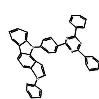 c1ccc(-c2nc(-c3ccccc3)nc(-c3ccc(-n4c5ccccc5c5ccc6c(ccn6-c6ccccc6)c54)cc3)n2)cc1